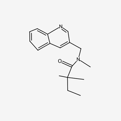 CCC(C)(C)C(=O)N(C)Cc1cnc2ccccc2c1